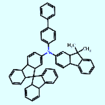 CC1(C)c2ccccc2C2C=CC(N(C3=CC4C(C=C3)C3C=CC=CC3C43c4ccccc4C4C=CC=CC43)c3ccc(-c4ccccc4)cc3)=CC21